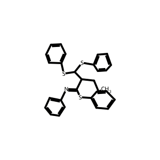 CCCC(C(=Nc1ccccc1)Sc1ccccc1)C(Sc1ccccc1)Sc1ccccc1